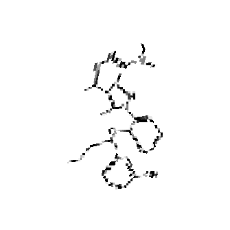 CCCC(Oc1ccccc1-n1nc2c(N(C)C)nnc(C)c2c1C)c1cccc(O)c1